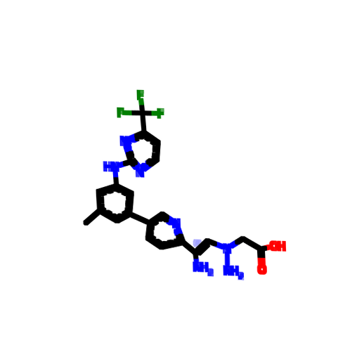 Cc1cc(Nc2nccc(C(F)(F)F)n2)cc(-c2ccc(/C(N)=C/N(N)CC(=O)O)nc2)c1